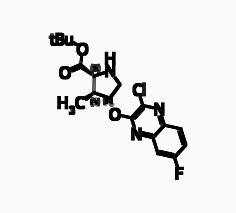 C[C@@H]1[C@@H](Oc2nc3cc(F)ccc3nc2Cl)CN[C@@H]1C(=O)OC(C)(C)C